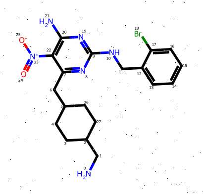 NCC1CCC(Cc2nc(NCc3ccccc3Br)nc(N)c2[N+](=O)[O-])CC1